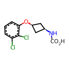 O=C(O)N[C@H]1C[C@@H](Oc2cccc(Cl)c2Cl)C1